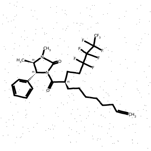 C=CCCCCCC[C@H](CCC(F)(F)C(F)(F)C(F)(F)C(F)(F)F)C(=O)N1C(=O)N(C)[C@H](C)[C@H]1c1ccccc1